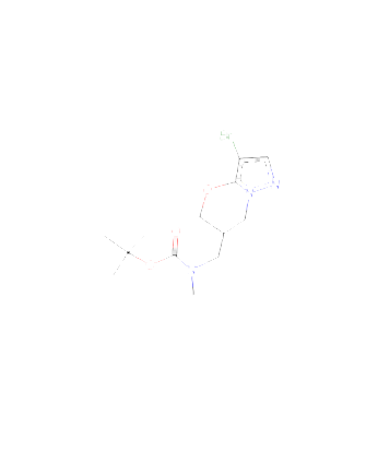 CN(CC1COc2c(Br)cnn2C1)C(=O)OC(C)(C)C